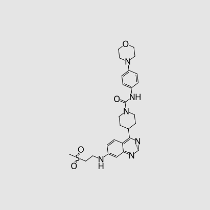 CS(=O)(=O)CCNc1ccc2c(C3CCN(C(=O)Nc4ccc(N5CCOCC5)cc4)CC3)ncnc2c1